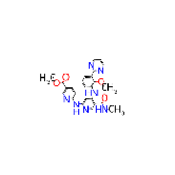 CNC(=O)c1cnc(Nc2ccc(C(=O)OC)cn2)cc1Nc1cccc(-c2ncccn2)c1OC